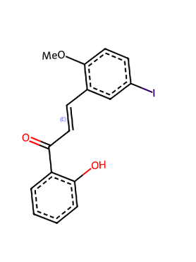 COc1ccc(I)cc1/C=C/C(=O)c1ccccc1O